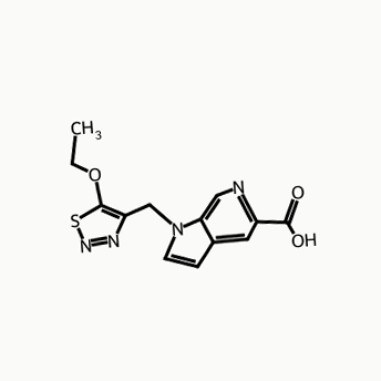 CCOc1snnc1Cn1ccc2cc(C(=O)O)ncc21